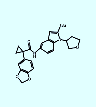 CC(C)(C)c1cc2cc(NC(=O)C3(c4ccc5c(c4)OCO5)CC3)ccc2n1C1CCOC1